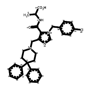 CC(NC(=O)c1c(CN2CCC(c3ccccc3)(c3ccccc3)CC2)ncn1Cc1ccc(Cl)cc1)C(=O)O